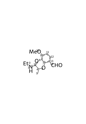 CCNC(=O)C(C)Oc1cc(OC)ccc1C=O